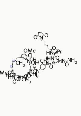 COc1cc2cc(c1Cl)N(C)C(O)C[C@H](OC(=O)Nc1ccc(NC(=O)[C@H](CCCNC(N)=O)NC(=O)[C@@H](NC(=O)CCCCCN3C(=O)C=CC3=O)C(C)C)c(C(F)(F)F)c1)[C@]1(C)O[C@H]1[C@H](C)[C@@H]1C[C@@](O)(NC(=O)O1)[C@H](OC)/C=C/C=C(\C)C2